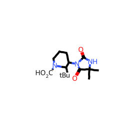 CC1(C)NC(=O)N(C2CCCN(C(=O)O)C2C(C)(C)C)C1=O